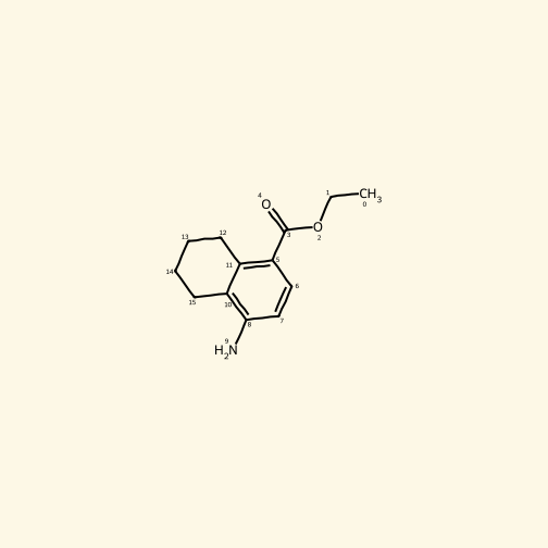 CCOC(=O)c1ccc(N)c2c1CCCC2